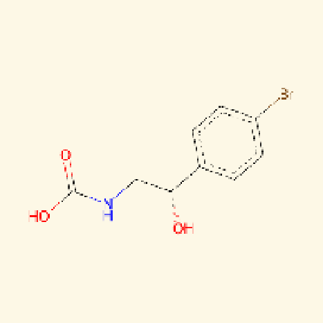 O=C(O)NC[C@@H](O)c1ccc(Br)cc1